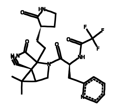 CC1(C)C2CN(C(=O)[C@H](Cc3ccccn3)NC(=O)C(F)(F)F)C(CC[C@H]3CCNC3=O)(C(N)=O)[C@]21C#N